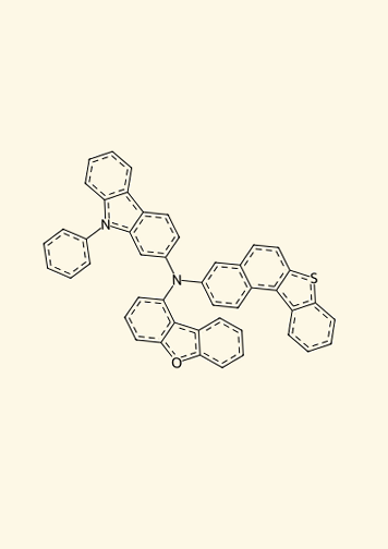 c1ccc(-n2c3ccccc3c3ccc(N(c4ccc5c(ccc6sc7ccccc7c65)c4)c4cccc5oc6ccccc6c45)cc32)cc1